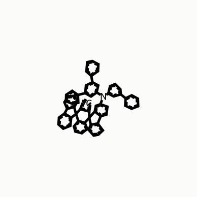 c1ccc(-c2cccc(N(c3cc(-c4ccccc4)cc(-c4ccccc4)c3)c3ccc4c(c3)C3(c5ccccc5-4)c4ccccc4C4(c5ccccc5-c5ccccc54)c4ccccc43)c2)cc1